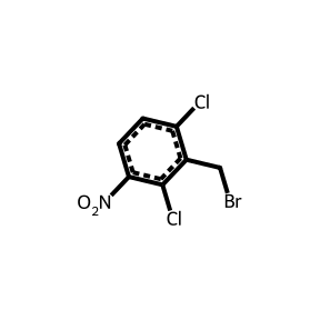 O=[N+]([O-])c1ccc(Cl)c(CBr)c1Cl